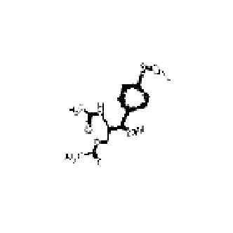 CSc1ccc(C(O)C(COC(C)=O)NC(C)=O)cc1